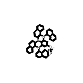 FC(F)(F)Oc1cc2c3c(c1)N(c1cccc4ccccc14)c1c(ccc4ccccc14)B3c1ccc3ccccc3c1N2c1cccc2ccccc12